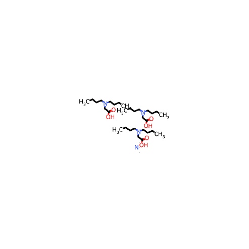 CCCCN(CCCC)CC(=O)O.CCCCN(CCCC)CC(=O)O.CCCCN(CCCC)CC(=O)O.[N]